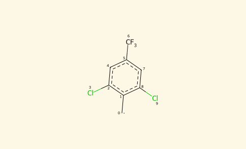 [CH2]c1c(Cl)cc(C(F)(F)F)cc1Cl